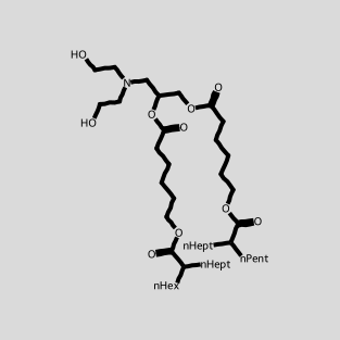 CCCCCCCC(CCCCC)C(=O)OCCCCCC(=O)OCC(CN(CCO)CCO)OC(=O)CCCCCOC(=O)C(CCCCCC)CCCCCCC